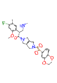 CNCC(C(=O)N1CC2=C(C1)CN(S(=O)(=O)c1ccc3c(c1)OCCO3)C2)c1cc(C)c(F)cc1OC